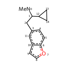 CNC(Cc1ccc2occc2c1)C1CC1